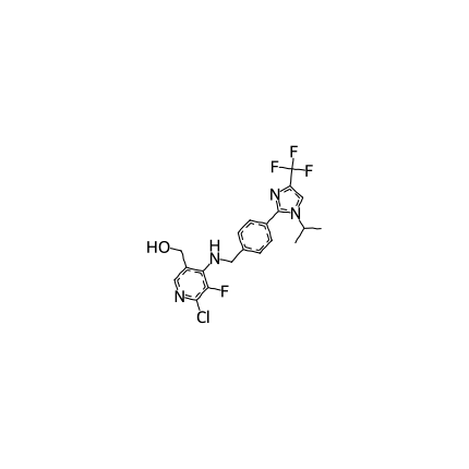 CC(C)n1cc(C(F)(F)F)nc1-c1ccc(CNc2c(CO)cnc(Cl)c2F)cc1